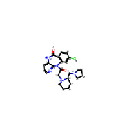 O=C1Nc2cccnc2N(C(=O)CN2CCCCC2CN2CCCC2)c2cc(Cl)ccc21